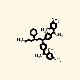 CCCCC(CCC(c1ccc(C(C)c2ccc(N)cc2C)cc1)c1ccc(C(C)c2ccc(N)cc2C)cc1)C1CCCCC1